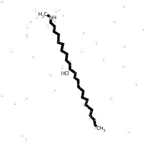 CCCCCCCCCCCCCCCCCCCCCCCCNC.Cl